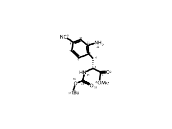 COC(=O)[C@@H](Cc1ccc(C#N)cc1N)NC(=O)OC(C)(C)C